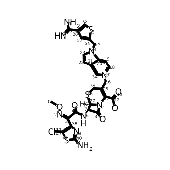 CO/N=C(\C(=O)N[C@@H]1C(=O)N2C(C(=O)[O-])=C(C[n+]3ccc4c(ccn4Cc4cc(C(=N)N)cs4)c3)CS[C@H]12)c1nc(N)sc1Cl